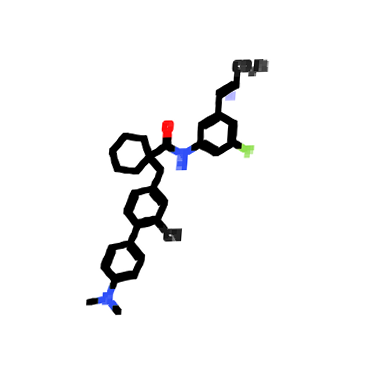 CCOC(=O)/C=C/c1cc(F)cc(NC(=O)C2(Cc3ccc(-c4ccc(N(C)C)cc4)c(C#N)c3)CCCCC2)c1